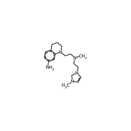 CN1C=CN(CCN(C)CCN2CCCc3ccc(N)cc32)C1